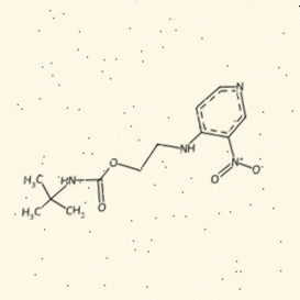 CC(C)(C)NC(=O)OCCNc1ccncc1[N+](=O)[O-]